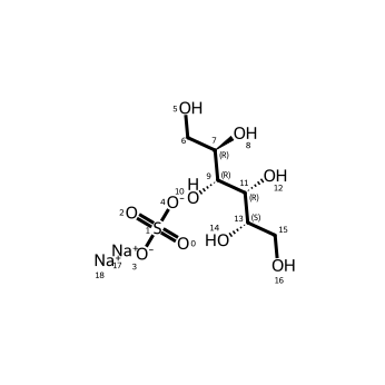 O=S(=O)([O-])[O-].OC[C@@H](O)[C@@H](O)[C@H](O)[C@@H](O)CO.[Na+].[Na+]